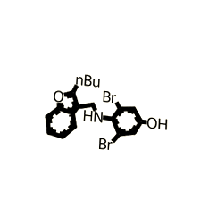 CCCCc1oc2ccccc2c1CNc1c(Br)cc(O)cc1Br